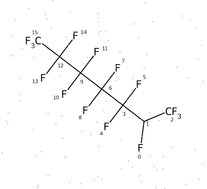 F[C](C(F)(F)F)C(F)(F)C(F)(F)C(F)(F)C(F)(F)C(F)(F)F